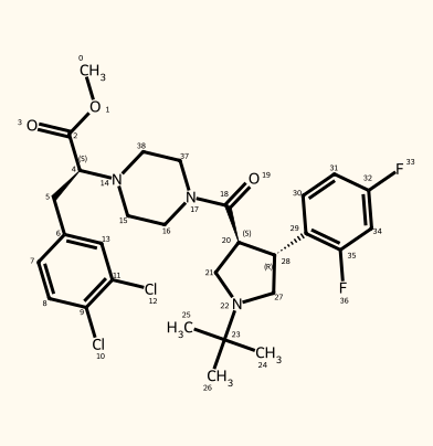 COC(=O)[C@H](Cc1ccc(Cl)c(Cl)c1)N1CCN(C(=O)[C@@H]2CN(C(C)(C)C)C[C@H]2c2ccc(F)cc2F)CC1